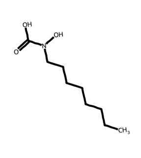 CCCCCCCCN(O)C(=O)O